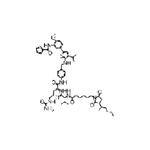 CCCCC(C)C1CC(=O)N(CCCCCC(=O)NC(C(=O)N[C@@H](CCCNC(N)=O)C(=O)Nc2ccc(CNc3sc(-c4ccc(OC)c(NC(=O)c5cccs5)c4)cc3C(C)C)cc2)C(C)C)C1=O